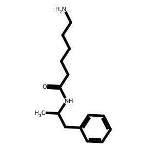 CC(Cc1ccccc1)NC(=O)CCCCCN